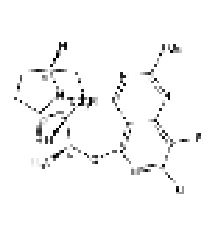 CSc1nc2c3c(nc(Cl)c(F)c3n1)O[C@@H](C)[C@@H]1[C@@H]3CC[C@H](CN21)N3C(=O)O